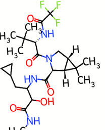 CNC(=O)C(O)C(CC1CC1)NC(=O)[C@@H]1[C@@H]2[C@H](CN1C(=O)[C@@H](NC(=O)C(F)(F)F)C(C)(C)C)C2(C)C